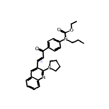 CCCN(C(=O)OCC)c1ccc(C(=O)/C=C/c2cc3ccccc3nc2N2CCCC2)cc1